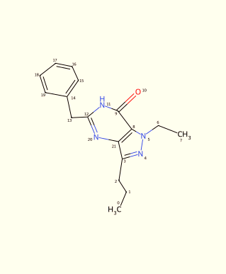 CCCc1nn(CC)c2c(=O)[nH]c(Cc3ccccc3)nc12